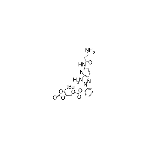 CC(C)(C)c1oc(=O)oc1COC(=O)Oc1ccccc1/N=N/c1ccc(NC(=O)CCN)nc1N